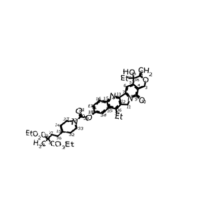 C=C1OCc2c(cc3n(c2=O)Cc2c-3nc3ccc(OC(=O)N4CCC(CCC(C)(C(=O)OCC)C(=O)OCC)CC4)cc3c2CC)C1(O)CC